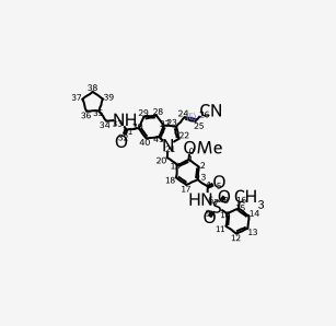 COc1cc(C(=O)NS(=O)(=O)c2ccccc2C)ccc1Cn1cc(/C=C/C#N)c2ccc(C(=O)NCC3CCCC3)cc21